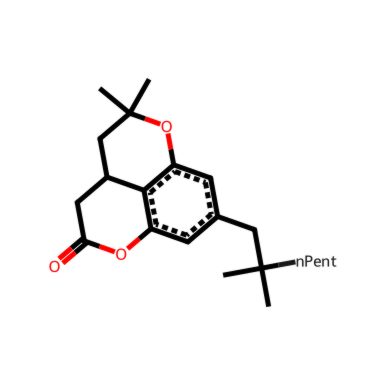 CCCCCC(C)(C)Cc1cc2c3c(c1)OC(C)(C)CC3CC(=O)O2